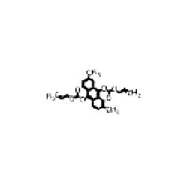 C=CCOC(=O)Oc1c2ccc(C)cc2c(OC(=O)OCC=C)c2cc(C)ccc12